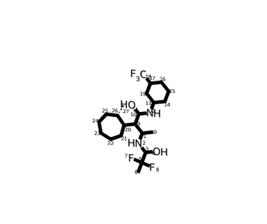 CC(NC(O)C(C)(F)F)C(C(O)NC1CCCC(C(F)(F)F)C1)C1CCCCC[C@@H]1C